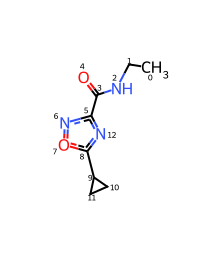 CCNC(=O)c1noc(C2CC2)n1